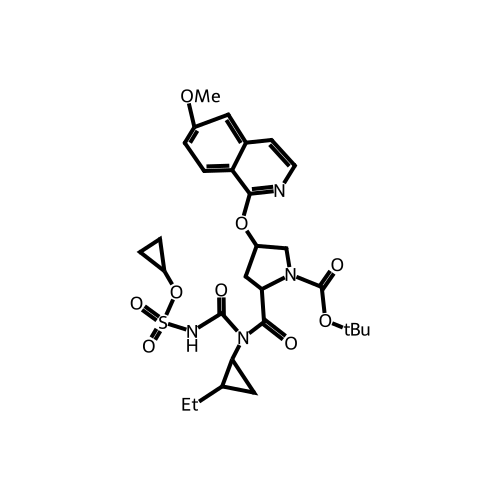 CCC1CC1N(C(=O)NS(=O)(=O)OC1CC1)C(=O)C1CC(Oc2nccc3cc(OC)ccc23)CN1C(=O)OC(C)(C)C